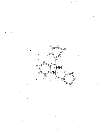 c1ccc(CN2N[C](c3ccccc3)c3ccccc32)cc1